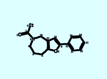 CCC(=O)N1CCCc2oc(-c3ccccc3)cc2C1